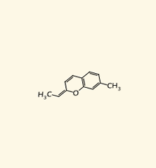 C/C=C1\C=Cc2ccc(C)cc2O1